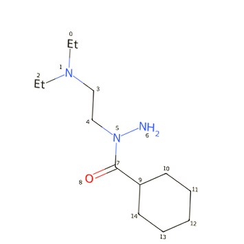 CCN(CC)CCN(N)C(=O)C1CCCCC1